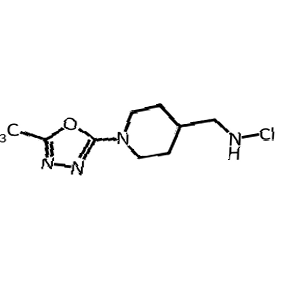 FC(F)(F)c1nnc(N2CCC(CNCl)CC2)o1